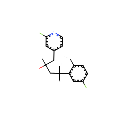 COc1ccc(F)cc1C(C)(C)CC(O)(Cc1ccnc(F)c1)C(F)(F)F